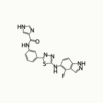 O=C(Nc1cccc(-c2nnc(Nc3ccc4[nH]ncc4c3F)s2)c1)c1c[nH]cn1